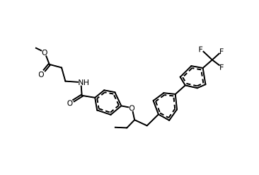 CCC(Cc1ccc(-c2ccc(C(F)(F)F)cc2)cc1)Oc1ccc(C(=O)NCCC(=O)OC)cc1